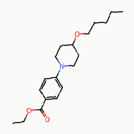 CCCCCOC1CCN(c2ccc(C(=O)OCC)cc2)CC1